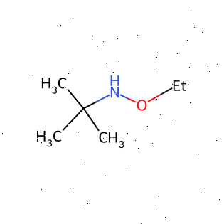 CCONC(C)(C)C